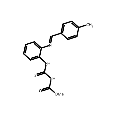 COC(=O)NC(=S)Nc1ccccc1/N=C/c1ccc(C)cc1